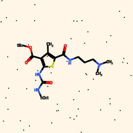 CCCCCCCCNC(=O)Nc1sc(C(=O)NCCCN(C)C)c(C)c1C(=O)OC(C)(C)C